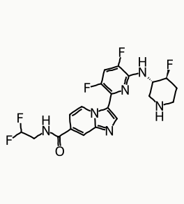 O=C(NCC(F)F)c1ccn2c(-c3nc(N[C@H]4CNCC[C@@H]4F)c(F)cc3F)cnc2c1